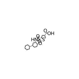 COc1ccc(-c2ccccc2)cc1NS(=O)(=O)c1cc(C(=O)O)cs1